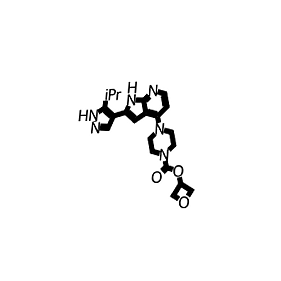 CC(C)c1[nH]ncc1-c1cc2c(N3CCN(C(=O)OC4COC4)CC3)ccnc2[nH]1